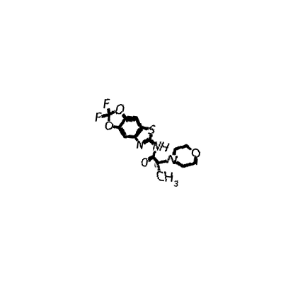 C[C@@H](C(=O)Nc1nc2cc3c(cc2s1)OC(F)(F)O3)N1CCOCC1